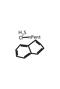 CCCCCCl.S.c1ccc2ccccc2c1